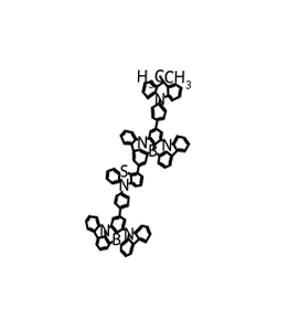 CC1(C)c2ccccc2N(c2ccc(-c3cc4c5c(c3)-n3c6ccccc6c6cc(-c7cccc8c7Sc7ccccc7N8c7ccc(-c8cc9c%10c(c8)-n8c%11ccccc%11c%11cccc(c%118)B%10c8cccc%10c%11ccccc%11n-9c8%10)cc7)cc(c63)B5c3cccc5c6ccccc6n-4c35)cc2)c2ccccc21